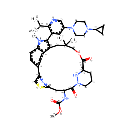 CCn1c(-c2cc(N3CCN(C4CC4)CC3)cnc2[C@H](C)OC)c2c3cc(ccc31)-c1csc(n1)C[C@H](NC(=O)OC(C)(C)C)C(=O)N1CCC[C@H](N1)C(=O)OCC(C)(C)C2